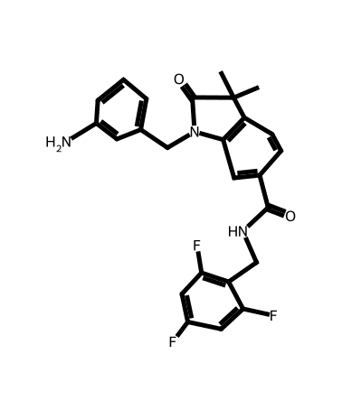 CC1(C)C(=O)N(Cc2cccc(N)c2)c2cc(C(=O)NCc3c(F)cc(F)cc3F)ccc21